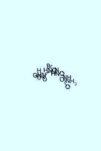 NC(Cc1ccccc1)C(=O)Nc1cccc(Nc2ncc(Br)c(NCCCNC(=O)C3CCC(=O)N3)n2)c1